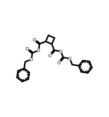 O=C(OCc1ccccc1)OC(=O)C1CCC1C(=O)OC(=O)OCc1ccccc1